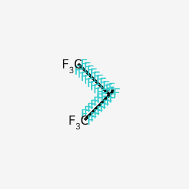 FC(F)C(F)(C(F)(F)C(F)(F)C(F)(F)C(F)(F)C(F)(F)C(F)(F)C(F)(F)C(F)(F)F)C(F)(F)C(F)(F)C(F)(F)C(F)(F)C(F)(F)C(F)(F)C(F)(F)C(F)(F)C(F)(F)C(F)(F)F